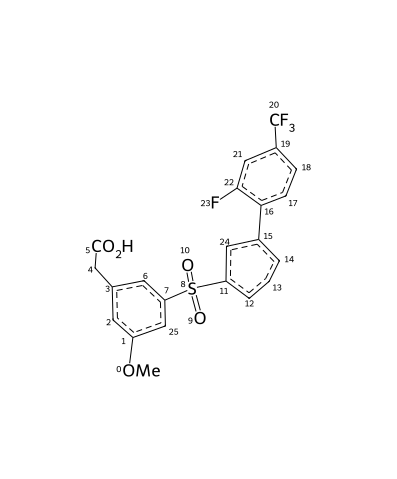 COc1cc(CC(=O)O)cc(S(=O)(=O)c2cccc(-c3ccc(C(F)(F)F)cc3F)c2)c1